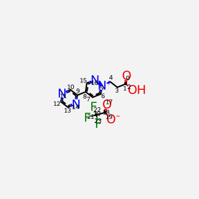 O=C(O)CC[n+]1ccc(-c2cnccn2)cn1.O=C([O-])C(F)(F)F